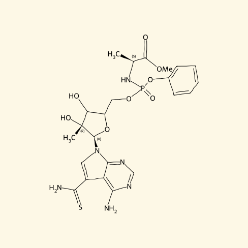 COC(=O)[C@H](C)NP(=O)(OCC1O[C@@H](n2cc(C(N)=S)c3c(N)ncnc32)[C@](C)(O)C1O)Oc1ccccc1